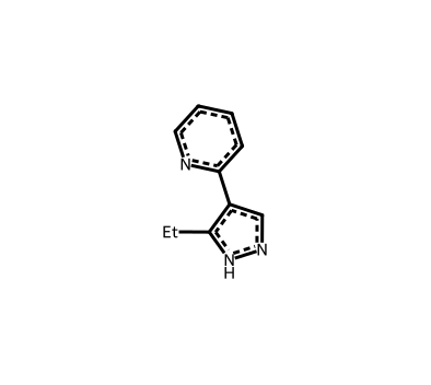 CCc1[nH]ncc1-c1ccccn1